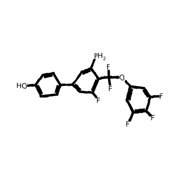 Oc1ccc(-c2cc(F)c(C(F)(F)Oc3cc(F)c(F)c(F)c3)c(P)c2)cc1